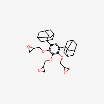 c1c(C23CC4CC(CC(C4)C2)C3)c(OCC2CO2)c(OCC2CO2)c(OCC2CO2)c1C12CC3CC(CC(C3)C1)C2